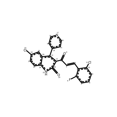 O=C(C=Cc1c(F)cccc1Cl)c1c(-c2ccncc2)c2cc(Cl)ccc2[nH]c1=O